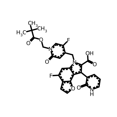 CC(C)(C)C(=O)OCn1cc(F)c(Cn2c(C(=O)O)c(-c3ccc[nH]c3=O)c3c4occc4c(F)cc32)cc1=O